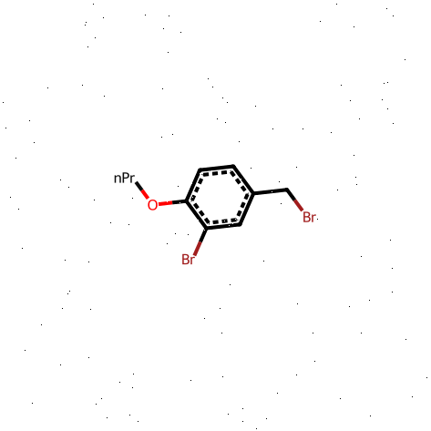 CCCOc1ccc(CBr)cc1Br